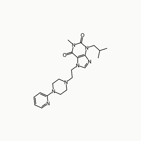 CC(C)Cn1c(=O)n(C)c(=O)c2c1ncn2CCN1CCN(c2ccccn2)CC1